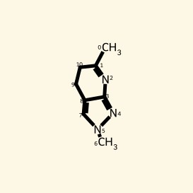 CC1=Nc2nn(C)cc2CC1